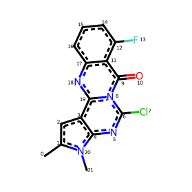 Cc1cc2c(nc(Cl)n3c(=O)c4c(F)cccc4nc23)n1C